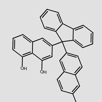 Oc1ccc2cc(C3(c4cc(O)c5c(O)cccc5c4)c4ccccc4-c4ccccc43)ccc2c1